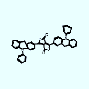 O=C1OC(c2ccc3c(c2)Cc2ccccc2N3c2ccccc2)=C2C(=O)OC(c3ccc4c(c3)Cc3ccccc3N4c3ccccc3)=C12